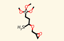 CO[Si](CCC([SiH3])OCC1CO1)(OC)OC